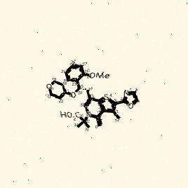 C=C1c2c(sc(-c3ncco3)c2C)C(C[C@H](OC2CCOCC2)c2ccccc2OC)=CN1C(C)(C)C(=O)O